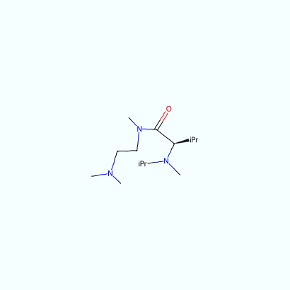 CC(C)[C@H](C(=O)N(C)CCN(C)C)N(C)C(C)C